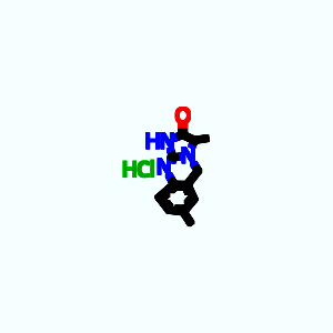 Cc1ccc2c(c1)CN1C(=N2)NC(=O)C1C.Cl